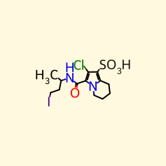 CC(CCI)NC(=O)c1c(Cl)c(S(=O)(=O)O)c2n1CCCC2